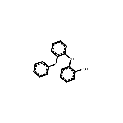 O=C(O)c1ccccc1Nc1ccccc1Oc1ccccc1